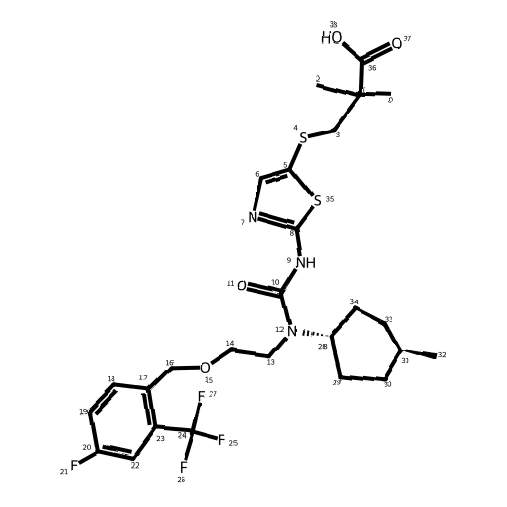 CC(C)(CSc1cnc(NC(=O)N(CCOCc2ccc(F)cc2C(F)(F)F)[C@H]2CC[C@H](C)CC2)s1)C(=O)O